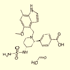 COc1cc(C)c2[nH]ccc2c1CN1CC[C@@H](NS(N)(=O)=O)C[C@@H]1c1ccc(C(=O)O)cc1.O=CO